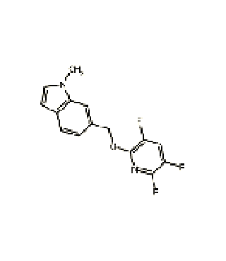 Cn1ccc2ccc(COc3nc(F)c(F)cc3F)cc21